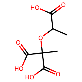 CC(OC(C)(C(=O)O)C(=O)O)C(=O)O